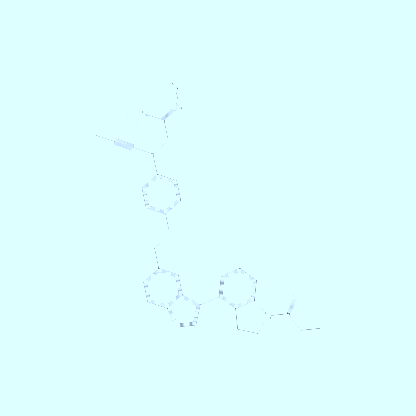 CC#CC(C/C(N)=N/N)c1ccc(OCc2ccc3scc(-c4cccc5c4CCN5C(=O)CC)c3c2)cc1